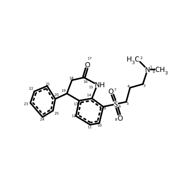 CN(C)CCCS(=O)(=O)c1cccc2c1NC(=O)CC2c1ccccc1